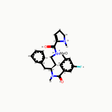 COc1cc(F)cc(C(=O)N(C)[C@H](CCNC(=O)C2=CCCN2C)Cc2ccccc2)c1